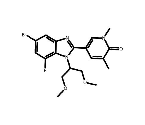 COCC(COC)n1c(-c2cc(C)c(=O)n(C)c2)nc2cc(Br)cc(F)c21